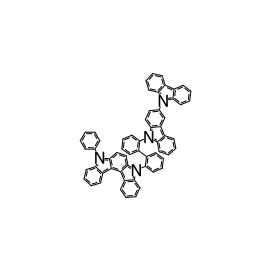 c1ccc(-n2c3ccccc3c3c4c5ccccc5n(-c5ccccc5-c5ccccc5-n5c6ccccc6c6cc(-n7c8ccccc8c8ccccc87)ccc65)c4ccc32)cc1